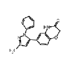 O=C1COc2ccc(-c3cc(C(F)(F)F)nn3-c3ccccn3)cc2N1